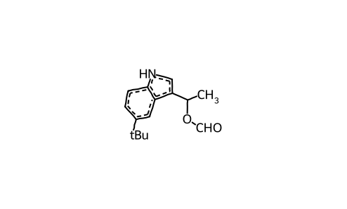 CC(OC=O)c1c[nH]c2ccc(C(C)(C)C)cc12